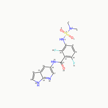 CN(C)S(=O)(=O)Nc1ccc(F)c(C(=O)Nc2cnc3[nH]ccc3c2)c1F